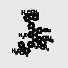 Cc1cc2c3c(c1)N(c1ccc(-c4cccc5c4-c4ccccc4C5(C)C)cc1)c1cc4c(cc1B3c1cc(C(C)(C)C)ccc1N2c1ccc(-c2cccc3c2-c2ccccc2C3(C)C)cc1)C(C)(C)CCC4(C)C